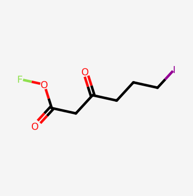 O=C(CCCI)CC(=O)OF